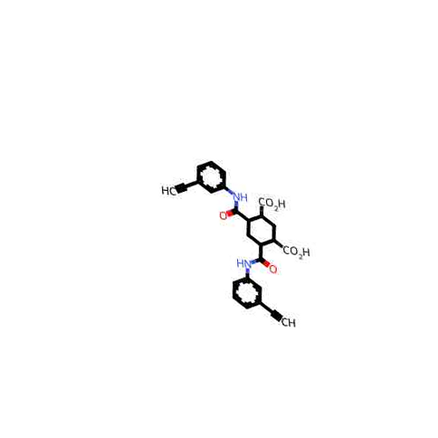 C#Cc1cccc(NC(=O)C2CC(C(=O)Nc3cccc(C#C)c3)C(C(=O)O)CC2C(=O)O)c1